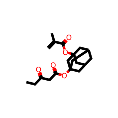 C=C(C)C(=O)OC12CC3CC(CC(OC(=O)CC(=O)CC)(C3)C1)C2